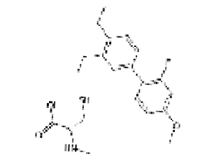 CCc1ccc(-c2ccc(OC)cc2F)cc1CC.CN[C@@H](CS)C(=O)O